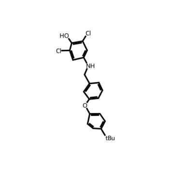 CC(C)(C)c1ccc(Oc2cccc(CNc3cc(Cl)c(O)c(Cl)c3)c2)cc1